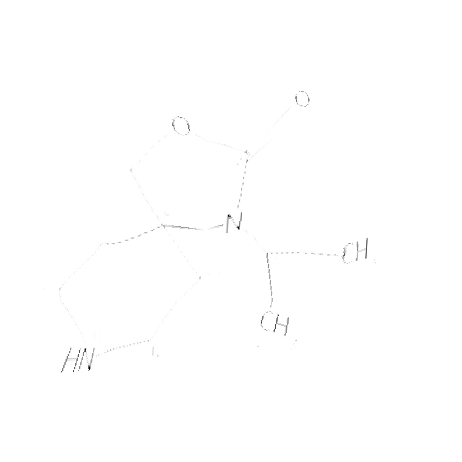 CC(C)N1C(=O)OCC12CCNCC2